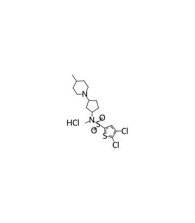 CC1CCN(C2CCC(N(C)S(=O)(=O)c3cc(Cl)c(Cl)s3)C2)CC1.Cl